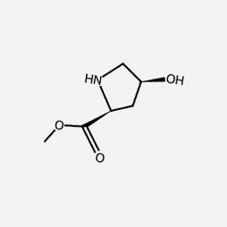 COC(=O)[C@@H]1C[C@H](O)CN1